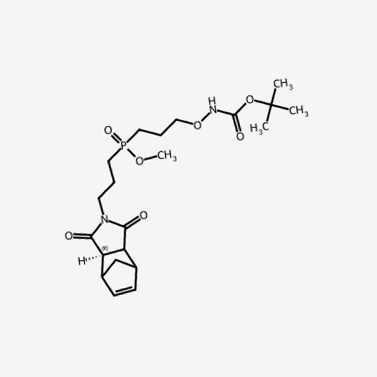 COP(=O)(CCCONC(=O)OC(C)(C)C)CCCN1C(=O)C2C3C=CC(C3)[C@H]2C1=O